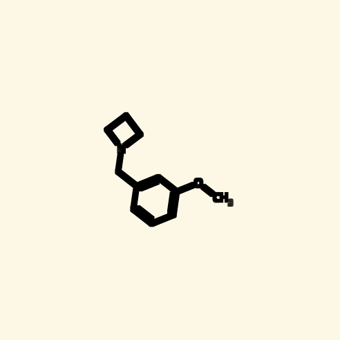 COc1cccc(CN2CCC2)c1